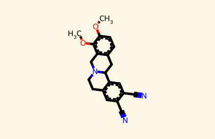 COc1ccc2c(c1OC)CN1CCc3cc(C#N)c(C#N)cc3C1C2